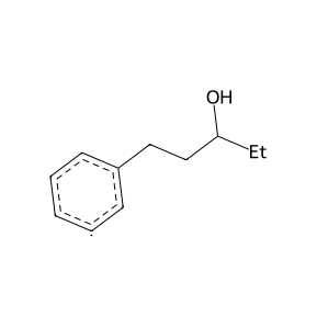 CCC(O)CCc1c[c]ccc1